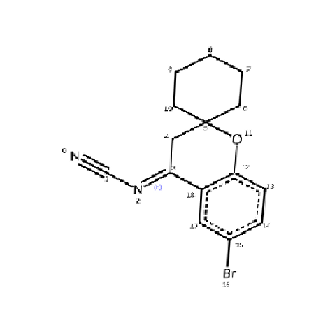 N#C/N=C1\CC2(CCCCC2)Oc2ccc(Br)cc21